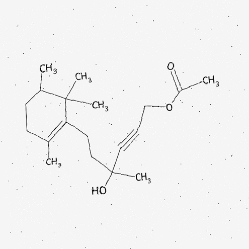 CC(=O)OCC#CC(C)(O)CCC1=C(C)CCC(C)C1(C)C